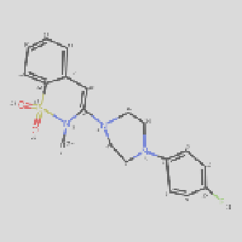 CCCN1C(N2CCN(c3ccc(F)cc3)CC2)=Cc2ccccc2S1(=O)=O